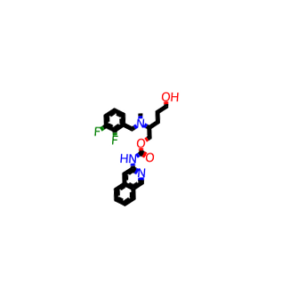 CN(Cc1cccc(F)c1F)C(CCCO)COC(=O)Nc1cc2ccccc2cn1